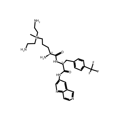 C[N+](CCN)(CCN)CCC[C@H](N)C(=O)N[C@@H](Cc1ccc(C(F)(F)F)cc1)C(=O)Nc1cnc2ccncc2c1